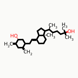 C=C1CC(=C)[C@H](O)CC1C/C=C1\CCC[C@@]2(C)C1CCC2[C@@H](C)CCCC(C)(C)O